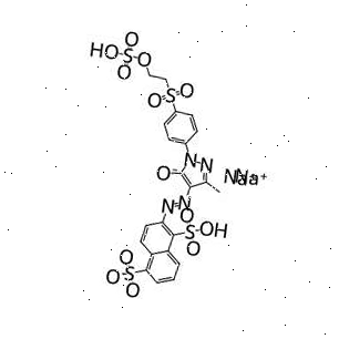 Cc1nn(-c2ccc(S(=O)(=O)CCOS(=O)(=O)O)cc2)c([O-])c1N=Nc1ccc2c(S(=O)(=O)[O-])cccc2c1S(=O)(=O)O.[Na+].[Na+]